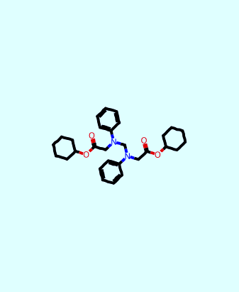 O=C(CN(CN(CC(=O)OC1CCCCC1)c1ccccc1)c1ccccc1)OC1CCCCC1